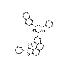 CN1c2c(ccc3ccc4cc(C5NC(c6ccccc6)=CC(c6ccc7ccccc7c6)N5)ccc4c23)OC1c1ccccc1